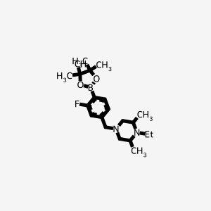 CCN1C(C)CN(Cc2ccc(B3OC(C)(C)C(C)(C)O3)c(F)c2)CC1C